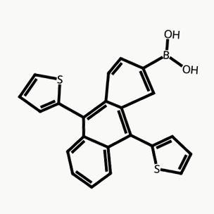 OB(O)c1ccc2c(-c3cccs3)c3ccccc3c(-c3cccs3)c2c1